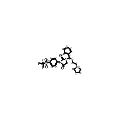 O=C1CN(C(OCCN2CCCC2)c2ccncc2)C(=O)N1c1ccc(S(=O)(=O)C(F)(F)F)cc1